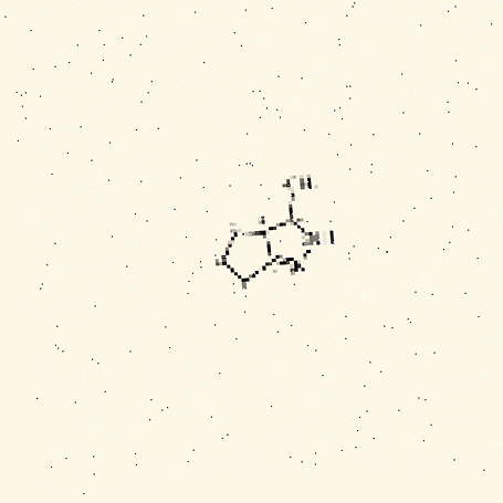 CC1NN=C2CCCC21